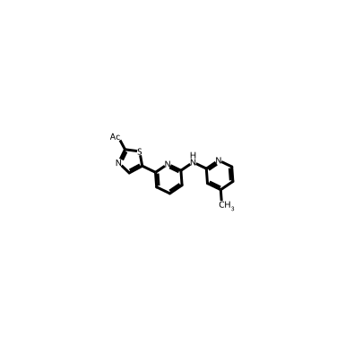 CC(=O)c1ncc(-c2cccc(Nc3cc(C)ccn3)n2)s1